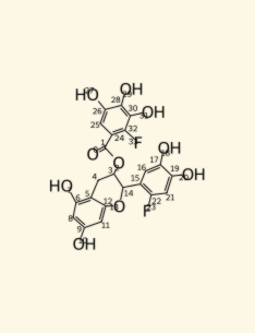 O=C(OC1Cc2c(O)cc(O)cc2OC1c1cc(O)c(O)cc1F)c1cc(O)c(O)c(O)c1F